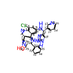 N#Cc1cnc2c(Cl)cc(N[C@@H](c3cccnc3)c3c[nH]nn3)cc2c1N[C@@H](CCO)c1ccccc1